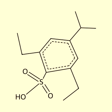 CCc1cc(C(C)C)cc(CC)c1S(=O)(=O)O